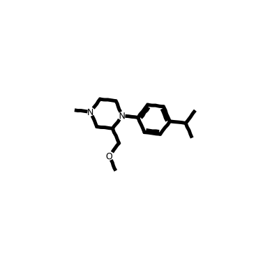 COCC1CN(C)CCN1c1ccc(C(C)C)cc1